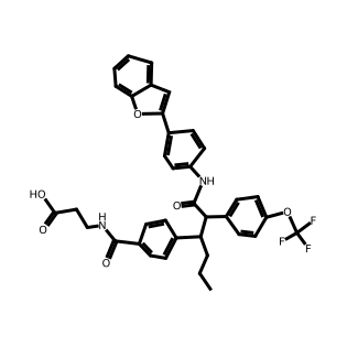 CCCC(c1ccc(C(=O)NCCC(=O)O)cc1)C(C(=O)Nc1ccc(-c2cc3ccccc3o2)cc1)c1ccc(OC(F)(F)F)cc1